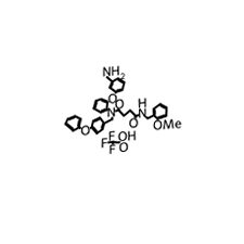 COc1ccccc1CNC(=O)CCC(=O)N(Cc1ccc(Oc2ccccc2)cc1)c1ccccc1Oc1cccc(CN)c1.O=C(O)C(F)(F)F